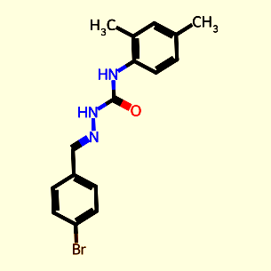 Cc1ccc(NC(=O)N/N=C/c2ccc(Br)cc2)c(C)c1